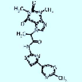 Cc1ncc(-c2csc(NC(=O)C(C)n3cnc4c3c(=O)n(C)c(=O)n4C)n2)cn1